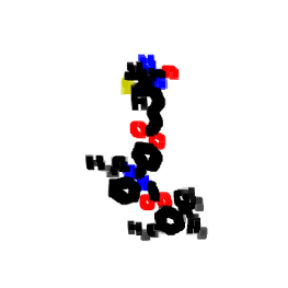 CC(C)[C@@H]1CC[C@@H](C)C[C@H]1OC(=O)Cn1c(-c2ccc(OC(=O)CCCC3[C@@H]4SC[C@@H]5NC(=O)N3[C@@H]54)cc2)[n+](C)c2ccccc21